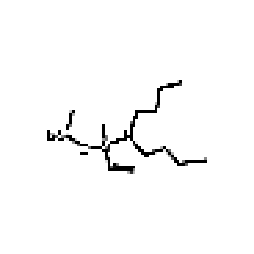 C=C[Si](C)(O[SiH](C)C)N(CCCC)CCCC